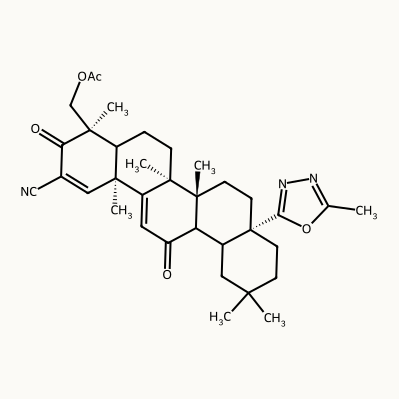 CC(=O)OC[C@]1(C)C(=O)C(C#N)=C[C@]2(C)C3=CC(=O)C4C5CC(C)(C)CC[C@]5(c5nnc(C)o5)CC[C@@]4(C)[C@]3(C)CCC21